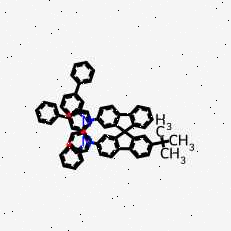 CC(C)(C)c1ccc2c(c1)C1(c3ccccc3-c3ccc(N(c4ccccc4)c4cccc(-c5ccccc5)c4)cc31)c1cc(N(c3ccccc3)c3cccc(-c4ccccc4)c3)ccc1-2